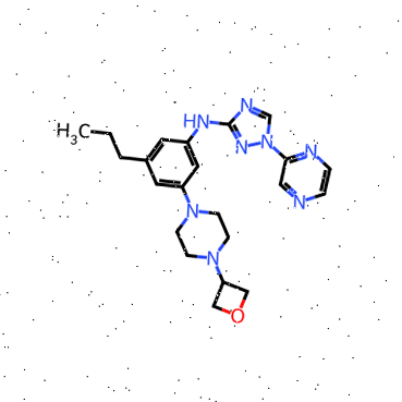 CCCc1cc(Nc2ncn(-c3cnccn3)n2)cc(N2CCN(C3COC3)CC2)c1